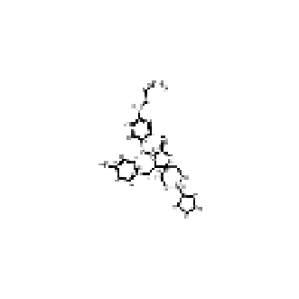 CCCOc1ccc(CN2C(=O)OC3(CCN(C4CCCC4)CC3)C2Cc2ccc(F)cc2)cc1